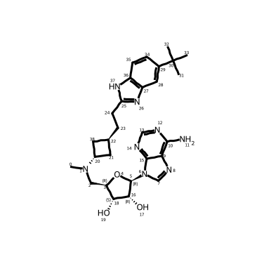 CN(C[C@H]1O[C@@H](n2cnc3c(N)ncnc32)[C@H](O)[C@@H]1O)[C@H]1C[C@H](CCc2nc3cc(C(C)(C)C)ccc3[nH]2)C1